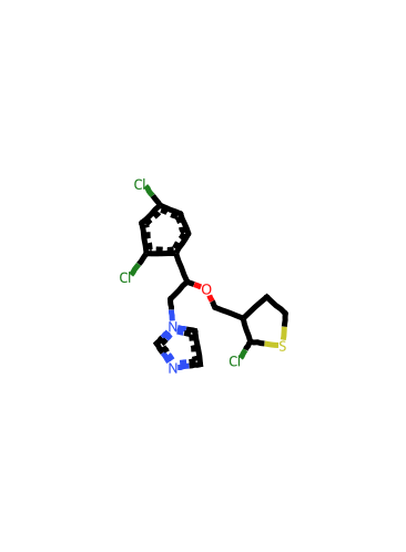 Clc1ccc(C(Cn2ccnc2)OCC2CCSC2Cl)c(Cl)c1